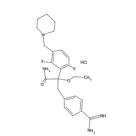 CCOC(Cc1ccc(C(=N)N)cc1)(C(N)=O)c1c(F)ccc(CN2CCCCC2)c1F.Cl